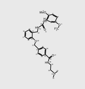 COc1ccc(OC(F)(F)F)cc1NC(=O)NCc1ccccc1OCc1ccc(C(=O)NCCN(C)C)cc1